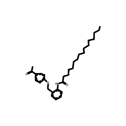 CCCCCCCCCCCCCCCC(=O)Nc1ccccc1COc1ccc(C(C)=O)cc1